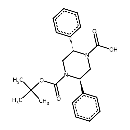 CC(C)(C)OC(=O)N1C[C@H](c2ccccc2)N(C(=O)O)C[C@H]1c1ccccc1